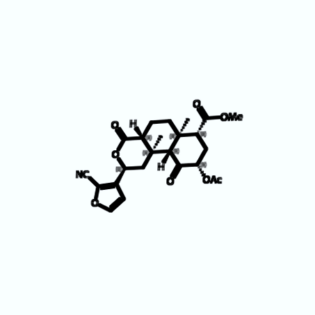 COC(=O)[C@@H]1C[C@H](OC(C)=O)C(=O)[C@H]2[C@@]1(C)CC[C@H]1C(=O)O[C@H](c3ccoc3C#N)C[C@]21C